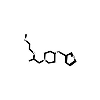 COCCOC(C)CN1CCC(Nc2cccnc2)CC1